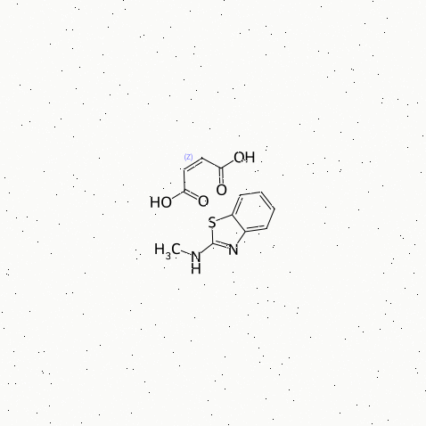 CNc1nc2ccccc2s1.O=C(O)/C=C\C(=O)O